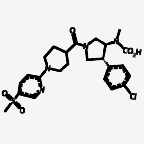 CN(C(=O)O)[C@@H]1CN(C(=O)C2CCN(c3ccc(S(C)(=O)=O)cn3)CC2)C[C@H]1c1ccc(Cl)cc1